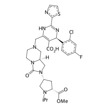 COC(=O)[C@H]1C[C@@H](N2C[C@@H]3CN(CC4=C(C(=O)O)[C@H](c5ccc(F)cc5Cl)N=C(c5nccs5)N4)CCN3C2=O)CN1C(C)C